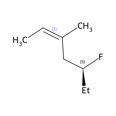 C/C=C(/C)C[C@@H](F)CC